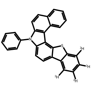 [2H]c1c([2H])c([2H])c2c(sc3c2ccc2c3c3c4ccccc4ccc3n2-c2ccccc2)c1[2H]